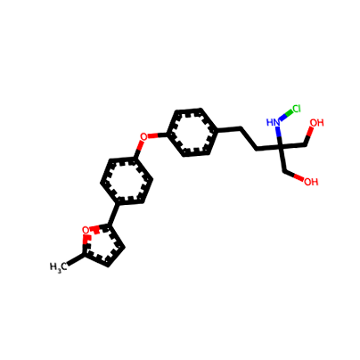 Cc1ccc(-c2ccc(Oc3ccc(CCC(CO)(CO)NCl)cc3)cc2)o1